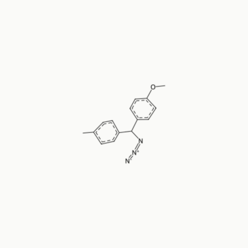 COc1ccc(C(N=[N+]=[N-])c2ccc(C)cc2)cc1